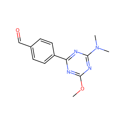 COc1nc(-c2ccc(C=O)cc2)nc(N(C)C)n1